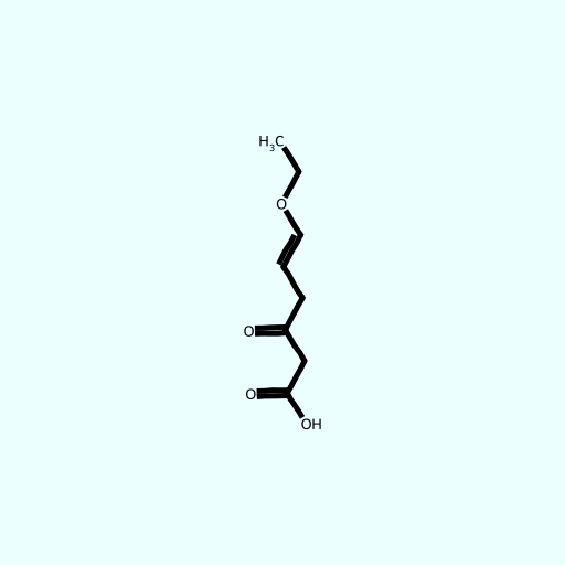 CCOC=CCC(=O)CC(=O)O